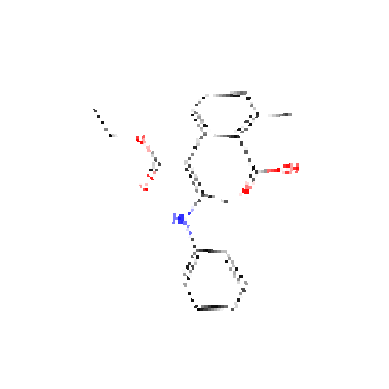 CCOC(=O)/C(=C(/C)Nc1ccccc1)c1cccc(C)c1C(=O)O